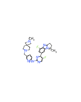 C[C@@H]1CCc2nc3c(F)cc(-c4nc(Nc5ccc(CN6CCC7(CC6)CN(C)C7)cn5)ncc4F)cc3n21